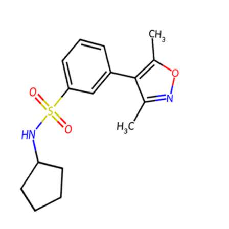 Cc1noc(C)c1-c1cccc(S(=O)(=O)NC2CCCC2)c1